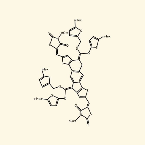 CCCCCCCCN1C(=O)/C(=C\c2cc3c(s2)-c2cc4c(cc2/C3=C(\SCc2ccc(CCCCCC)s2)Sc2ccc(CCCCCC)s2)-c2sc(/C=C3/SC(=S)N(CCCCCCCC)C3=O)cc2/C(=C(\SCc2ccc(CCCCCC)s2)Sc2ccc(CCCCCC)s2)C4)SC1=S